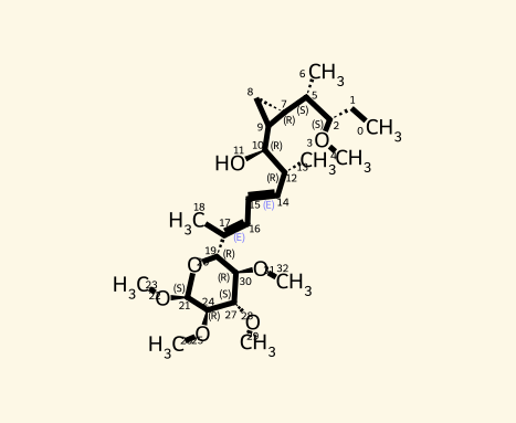 CC[C@H](OC)[C@@H](C)[C@H]1CC1[C@H](O)[C@H](C)/C=C/C=C(\C)[C@H]1O[C@H](OC)[C@H](OC)[C@@H](OC)[C@@H]1OC